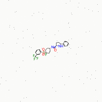 O=C(N[C@H]1CC[C@@](F)(S(=O)(=O)c2cccc(C(F)(F)F)c2)CC1)[C@H]1CC[C@@H](c2ccccc2)N1